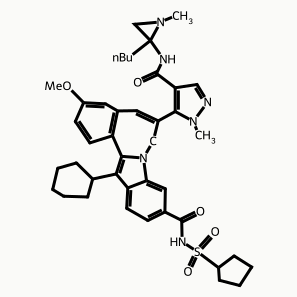 CCCCC1(NC(=O)c2cnn(C)c2C2=Cc3cc(OC)ccc3-c3c(C4CCCCC4)c4ccc(C(=O)NS(=O)(=O)C5CCCC5)cc4n3C2)CN1C